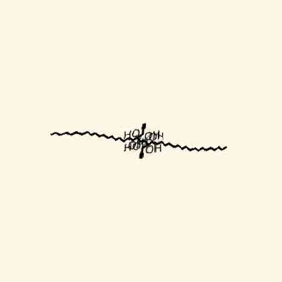 C#CC[C@@](O)(C(O)CCCCCCCCCCCCCCCCCC)[C@@H](O)[C@H](O)[C@@](O)(CC#C)C(O)CCCCCCCCCCCCCCCCCC